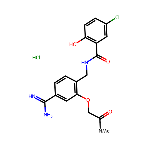 CNC(=O)COc1cc(C(=N)N)ccc1CNC(=O)c1cc(Cl)ccc1O.Cl